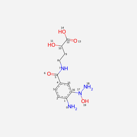 Nc1ccc(C(=O)NCCC(O)C(=O)O)cc1N(N)O